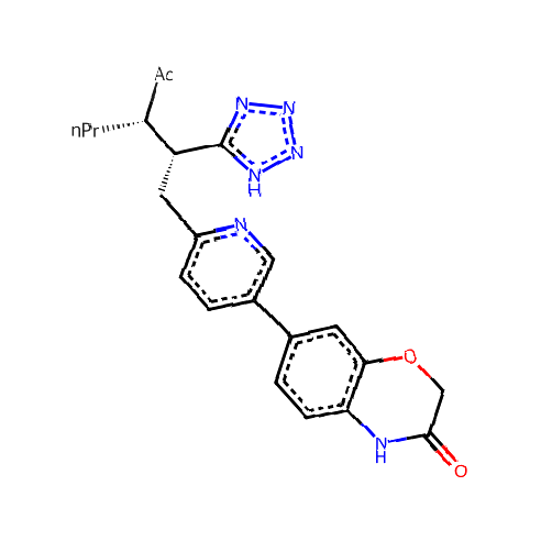 CCC[C@H](C(C)=O)[C@@H](Cc1ccc(-c2ccc3c(c2)OCC(=O)N3)cn1)c1nnn[nH]1